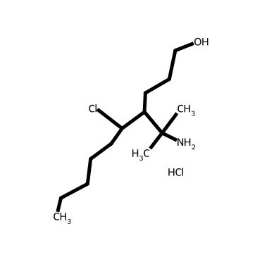 CCCCCC(Cl)C(CCCO)C(C)(C)N.Cl